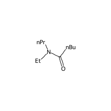 [CH2]CCCC(=O)N(CC)CCC